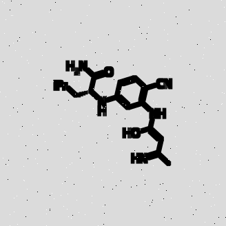 CC(=N)/C=C(\O)Nc1cc(N[C@H](CC(C)C)C(N)=O)ccc1C#N